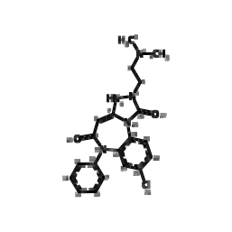 CN(C)CCN1NC2=CC(=O)N(c3ccccc3)c3cc(Cl)ccc3N2C1=O